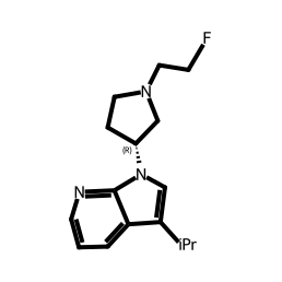 CC(C)c1cn([C@@H]2CCN(CCF)C2)c2ncccc12